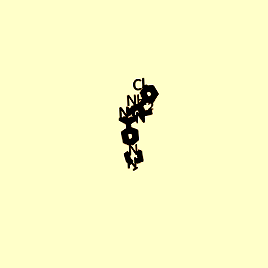 Cc1nc2c(-c3ccc(N4CCN(C)CC4)cc3)cnn2c(N)c1-c1cccc(Cl)c1